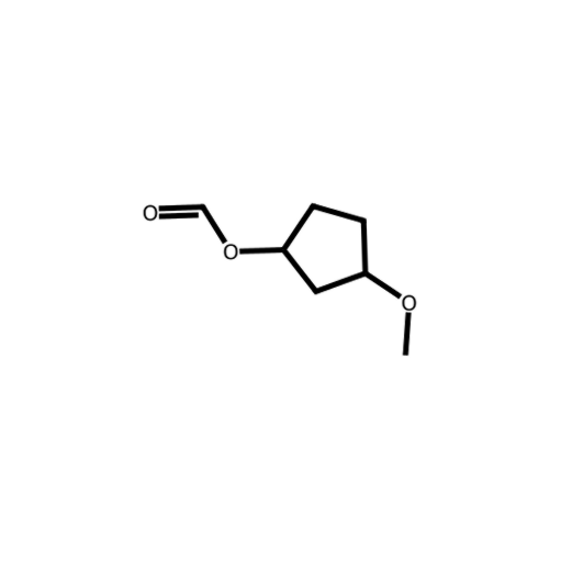 COC1CCC(OC=O)C1